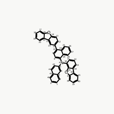 c1ccc2cc(N(c3ccc(-c4ccc5oc6ccccc6c5c4)c4ccccc34)c3cccc4c3oc3ccccc34)ccc2c1